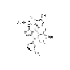 COC(=O)C1=C(C)N(c2cccc(C(F)(F)F)c2)c2n[nH]c(=O)n2[C@@H]1c1ccc(C#N)cc1CC(C)NC(C)=O